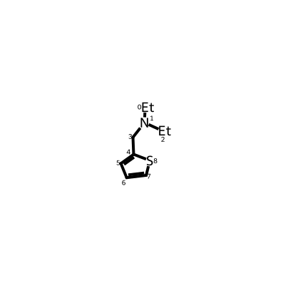 CCN(CC)Cc1cccs1